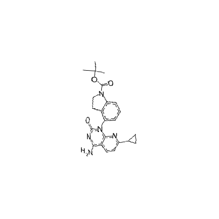 CC(C)(C)OC(=O)N1CCc2c1cccc2-n1c(=O)nc(N)c2ccc(C3CC3)nc21